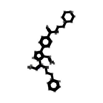 C=Nc1c(-c2ccc(C(=O)NCCN3CCOCC3)cc2)cnn1/C(=C\C)NCCc1ccccn1